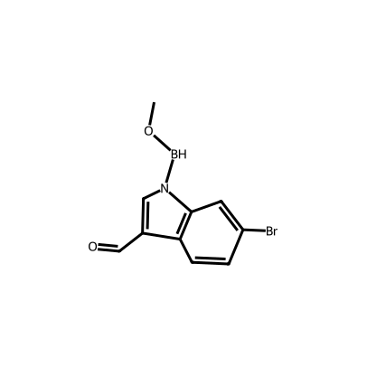 COBn1cc(C=O)c2ccc(Br)cc21